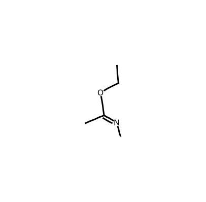 CCOC(C)=NC